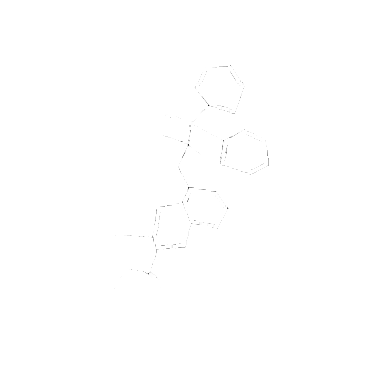 COC(=O)c1cc2cccc(CC(C)(C)[Si](O)(c3ccccc3)c3ccccc3)c2cc1O